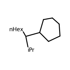 CCC[CH]CCC(C(C)C)C1CCCCC1